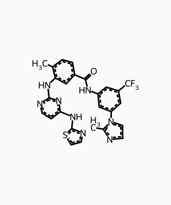 Cc1ccc(C(=O)Nc2cc(-n3ccnc3C)cc(C(F)(F)F)c2)cc1Nc1nccc(Nc2nccs2)n1